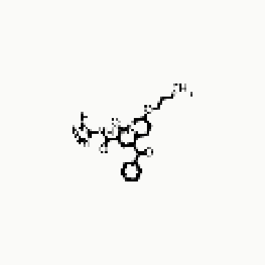 CCCCOc1ccc2c(C(=O)c3ccccc3)cc(C(=O)Nc3nnn[nH]3)c(=O)n2c1